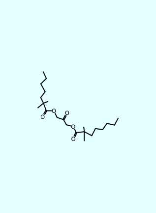 CCCCCCC(C)(C)C(=O)OCC(=O)COC(=O)C(C)(C)CCCCC